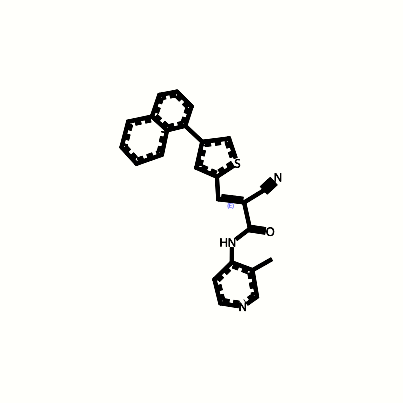 Cc1cnccc1NC(=O)/C(C#N)=C/c1cc(-c2cccc3ccccc23)cs1